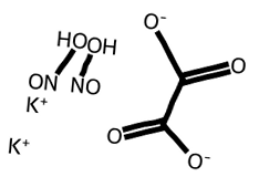 O=C([O-])C(=O)[O-].O=NO.O=NO.[K+].[K+]